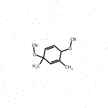 CC1=CC(C)(OC#N)C=CC1OC#N